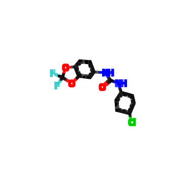 O=C(Nc1ccc(Cl)cc1)Nc1ccc2c(c1)OC(F)(F)O2